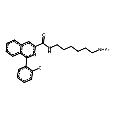 CC(=O)NCCCCCCNC(=O)c1cc2ccccc2c(-c2ccccc2Cl)n1